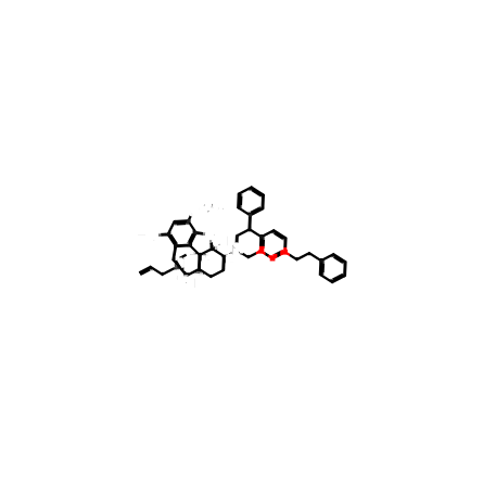 C=CCN1CC[C@]23c4c5c(O)cc(OC)c4O[C@H]2[C@@H](N(CCCCCCc2ccccc2)CC(c2ccccc2)c2ccccc2)CC[C@H]3[C@H]1C5